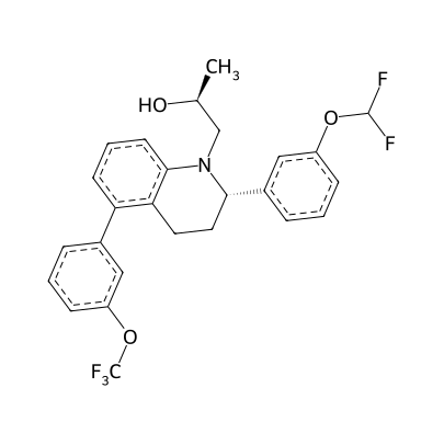 C[C@H](O)CN1c2cccc(-c3cccc(OC(F)(F)F)c3)c2CC[C@H]1c1cccc(OC(F)F)c1